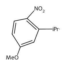 COc1ccc([N+](=O)[O-])c([C](C)C)c1